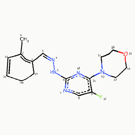 CC1=C(/C=N\Nc2ncc(F)c(N3CCOCC3)n2)CCC=C1